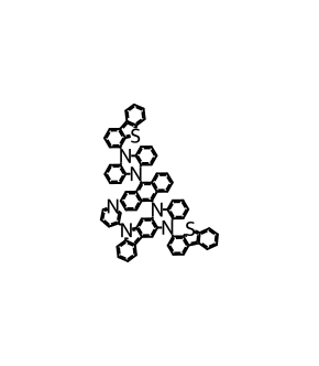 c1cncc(-n2c3ccccc3c3cc4c(cc32)N(c2c3ccccc3c(N3c5ccccc5N(c5cccc6c5sc5ccccc56)c5ccccc53)c3ccccc23)c2ccccc2N4c2cccc3c2sc2ccccc23)c1